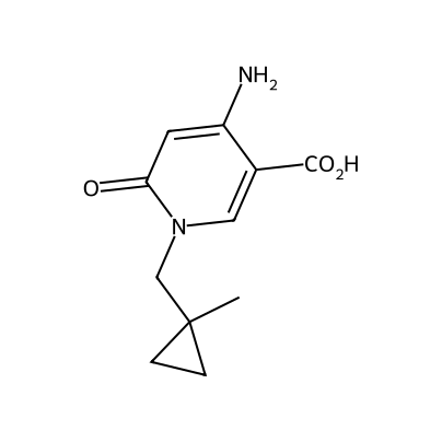 CC1(Cn2cc(C(=O)O)c(N)cc2=O)CC1